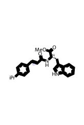 COC(=O)[C@H](Cc1c[nH]c2ccccc12)NC(=O)/C=C/c1ccc(C(C)C)cc1